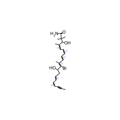 CC#C/C=C\C=C\CC(O)/C(Br)=C(C)/C=C/C=C\C=C(\C)C(O)C(C)(C)C(N)=O